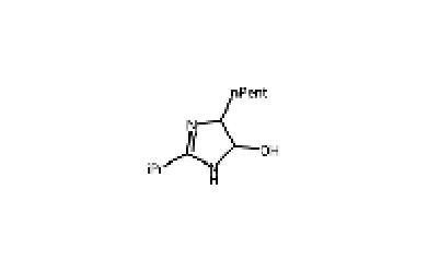 CCCCCC1N=C(C(C)C)NC1O